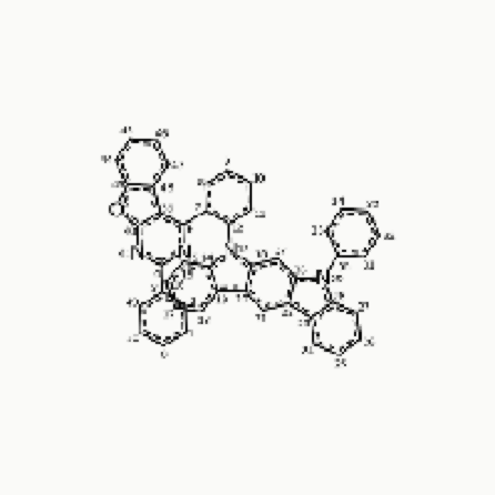 c1ccc(-c2nc(-c3ccccc3-n3c4ccccc4c4cc5c6ccccc6n(-c6ccccc6)c5cc43)c3c(n2)oc2ccccc23)cc1